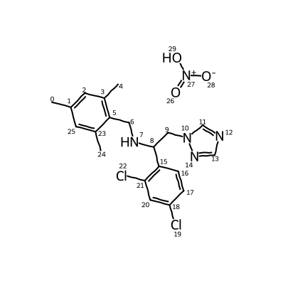 Cc1cc(C)c(CNC(Cn2cncn2)c2ccc(Cl)cc2Cl)c(C)c1.O=[N+]([O-])O